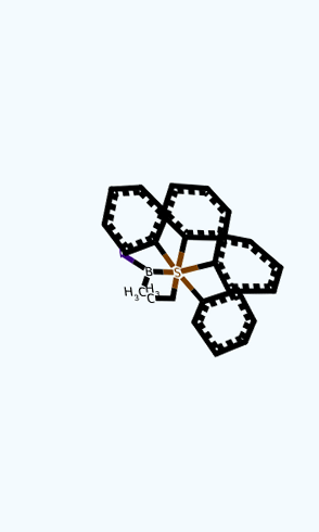 CCS(B(C)I)(c1ccccc1)(c1ccccc1)(c1ccccc1)c1ccccc1